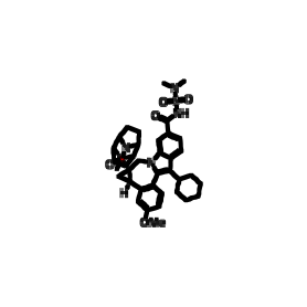 COc1ccc2c(c1)[C@@H]1C[C@]1(C(=O)N1C3CCC1C1CCC3N1C)Cn1c-2c(C2CCCCC2)c2ccc(C(=O)NS(=O)(=O)N(C)C)cc21